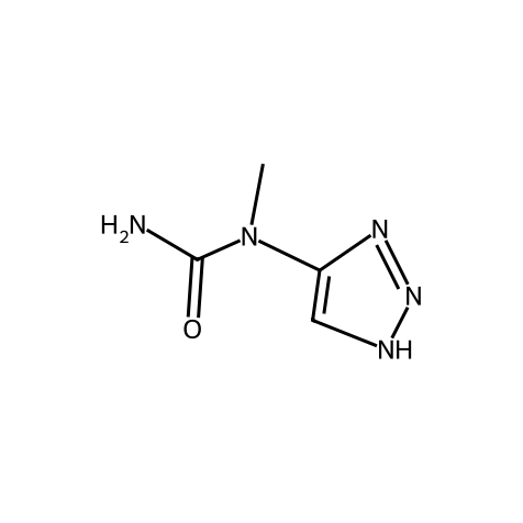 CN(C(N)=O)c1c[nH]nn1